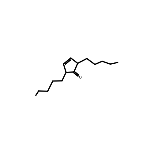 CCCCCC1C=CC(CCCCC)C1=O